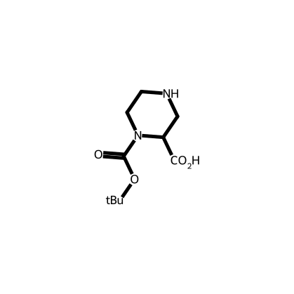 CC(C)(C)OC(=O)N1CCNCC1C(=O)O